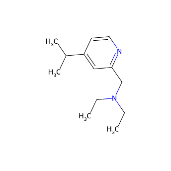 CCN(CC)Cc1cc(C(C)C)ccn1